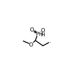 [CH2]CC(OC)[PH](=O)O